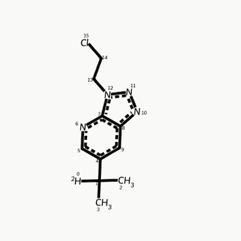 [2H]C(C)(C)c1cnc2c(c1)nnn2CCCl